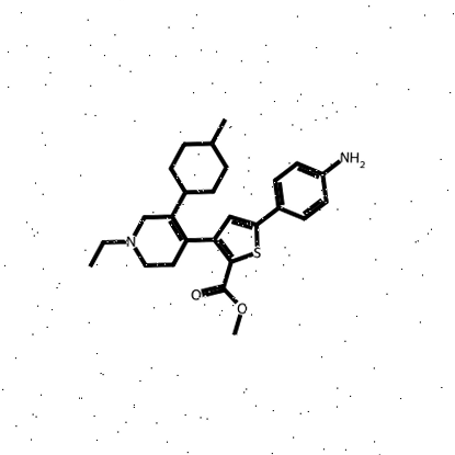 CCN1CCC(c2cc(-c3ccc(N)cc3)sc2C(=O)OC)=C(C2CCC(C)CC2)C1